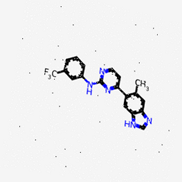 Cc1cc2nc[nH]c2cc1-c1ccnc(Nc2cccc(C(F)(F)F)c2)n1